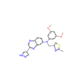 COc1cc(OC)cc(N(Cc2csc(C)n2)c2ccc3ncc(-c4cn[nH]c4)nc3c2)c1